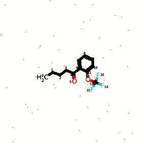 [CH2]CCCC(=O)c1ccccc1OC(F)(F)F